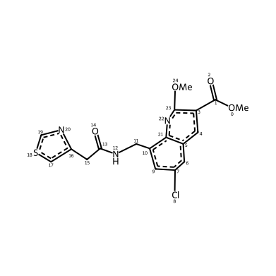 COC(=O)c1cc2cc(Cl)cc(CNC(=O)Cc3cscn3)c2nc1OC